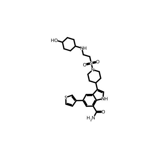 NC(=O)c1cc(-c2ccsc2)cc2c(C3CCN(S(=O)(=O)CCNC4CCC(O)CC4)CC3)c[nH]c12